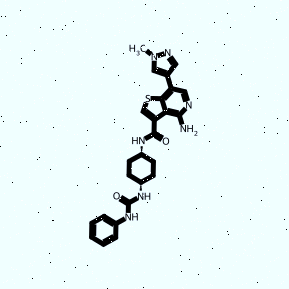 Cn1cc(-c2cnc(N)c3c(C(=O)N[C@H]4CC[C@@H](NC(=O)Nc5ccccc5)CC4)csc23)cn1